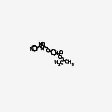 CC(C)COC(=O)N1CCC(OCc2nc(-c3ccncc3)no2)CC1